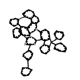 c1ccc(-c2ccc(-c3nc(-c4ccccc4)nc(-c4c(-n5c6cccc7c6c6c8c(cccc8ccc65)-c5ccccc5-7)ccc5c4-c4ccccc4C5(c4ccccc4)c4ccccc4)n3)cc2)cc1